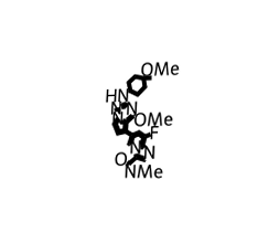 CNC(=O)c1cnc2c(F)cc(-c3ccn4nc(N[C@H]5CC[C@@](C)(OC)CC5)nc(OC)c34)cn12